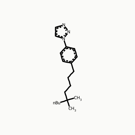 CCCCC(C)(C)CCCCc1ccc(-n2ccnn2)cc1